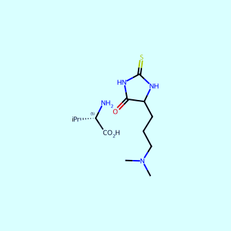 CC(C)[C@H](N)C(=O)O.CN(C)CCCC1NC(=S)NC1=O